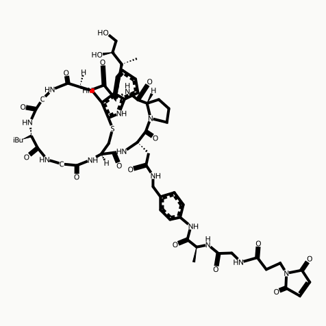 CC[C@H](C)[C@@H]1NC(=O)CNC(=O)[C@@H]2Cc3c([nH]c4ccccc34)SC[C@H](NC(=O)CNC1=O)C(=O)N[C@@H](CC(=O)NCc1ccc(NC(=O)[C@H](C)NC(=O)CNC(=O)CCN3C(=O)C=CC3=O)cc1)C(=O)N1CCC[C@H]1C(=O)N[C@@H]([C@@H](C)[C@@H](O)CO)C(=O)N2